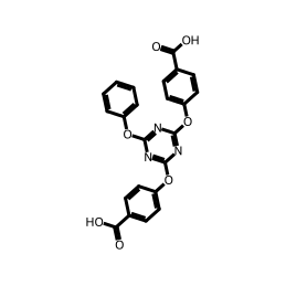 O=C(O)c1ccc(Oc2nc(Oc3ccccc3)nc(Oc3ccc(C(=O)O)cc3)n2)cc1